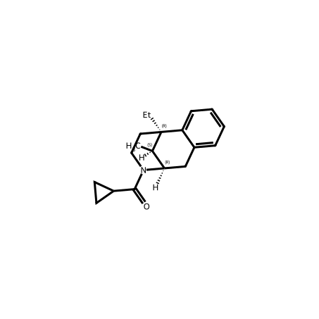 CC[C@]12CCN(C(=O)C3CC3)[C@H](Cc3ccccc31)[C@H]2C